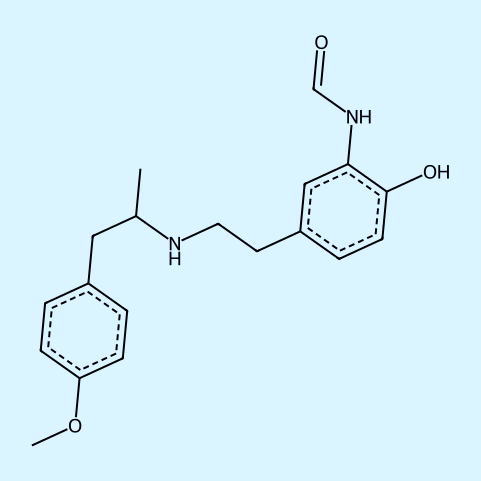 COc1ccc(CC(C)NCCc2ccc(O)c(NC=O)c2)cc1